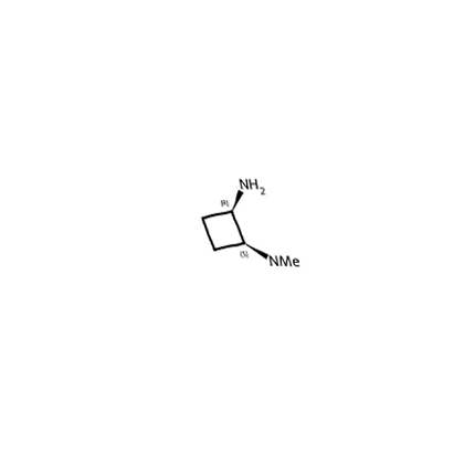 CN[C@H]1CC[C@H]1N